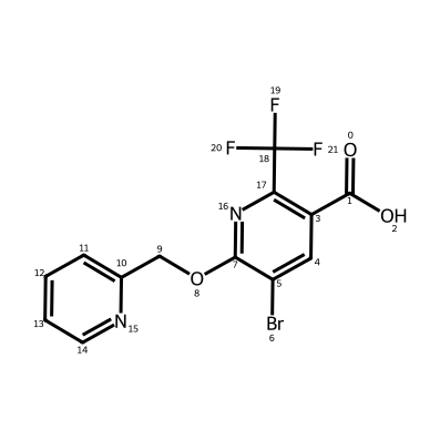 O=C(O)c1cc(Br)c(OCc2ccccn2)nc1C(F)(F)F